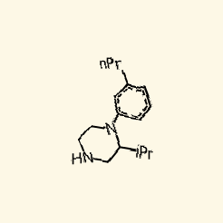 CCCc1cccc(N2CCNCC2C(C)C)c1